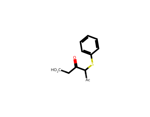 CC(=O)C(Sc1ccccc1)C(=O)CC(=O)O